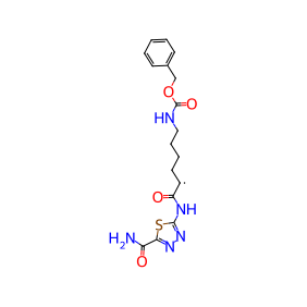 NC(=O)c1nnc(NC(=O)[CH]CCCCNC(=O)OCc2ccccc2)s1